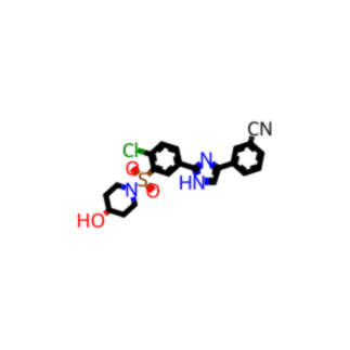 N#Cc1cccc(-c2c[nH]c(-c3ccc(Cl)c(S(=O)(=O)N4CCC(O)CC4)c3)n2)c1